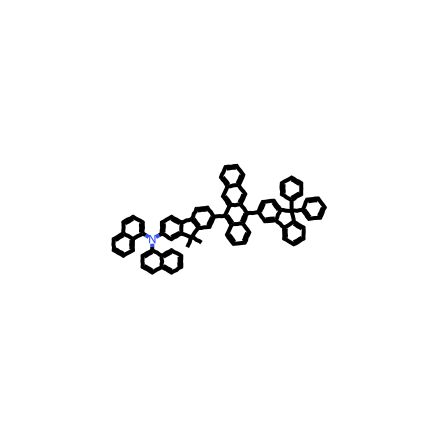 CC1(C)c2cc(-c3c4ccccc4c(-c4ccc5c(c4)-c4ccccc4C5(c4ccccc4)c4ccccc4)c4cc5ccccc5cc34)ccc2-c2ccc(N(c3cccc4ccccc34)c3cccc4ccccc34)cc21